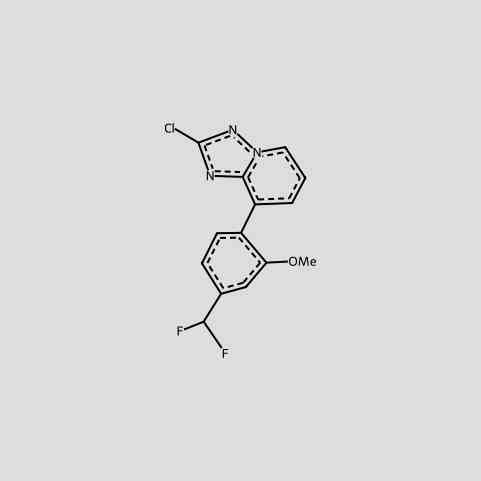 COc1cc(C(F)F)ccc1-c1cccn2nc(Cl)nc12